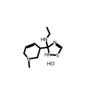 CCNC1(C2C=CCN(C)C2)N=CSN1.Cl